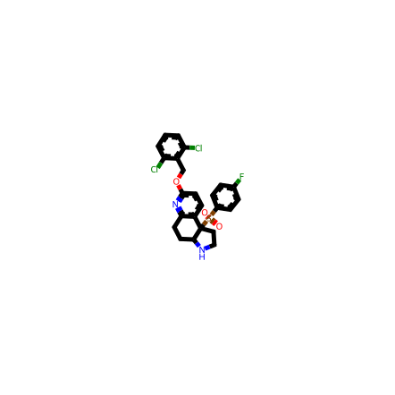 O=S(=O)(c1ccc(F)cc1)C12CCNC1CCc1nc(OCc3c(Cl)cccc3Cl)ccc12